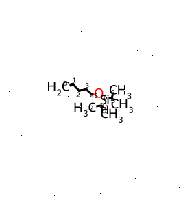 C=CCCCO[SiH](C(C)C)C(C)C